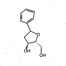 OC[C@H]1OC(c2ccccc2)C[C@@H]1O